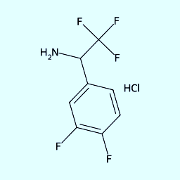 Cl.NC(c1ccc(F)c(F)c1)C(F)(F)F